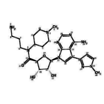 CN1CCC(N(CCCN)C(=O)[C@H]2O[C@@H](n3cc(-c4ccn(C)n4)c4c(N)ncnc43)[C@H](O)[C@@H]2O)CC1